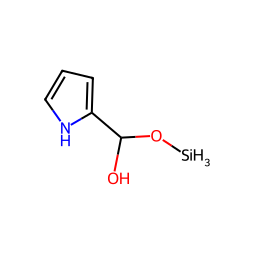 OC(O[SiH3])c1ccc[nH]1